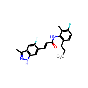 Cc1c(F)ccc(CCC(=O)O)c1NC(=O)/C=C/c1cc2[nH]nc(C)c2cc1F